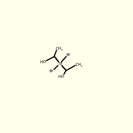 CC(O)[Te](Br)(Br)C(C)O